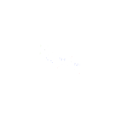 CC1C(=O)NC(=O)C1C(=O)Nc1nnc(C(F)(F)F)s1